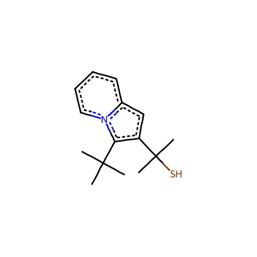 CC(C)(C)c1c(C(C)(C)S)cc2ccccn12